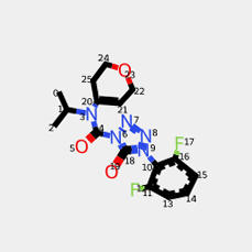 CC(C)N(C(=O)n1nnn(-c2c(F)cccc2F)c1=O)C1=CCOCC1